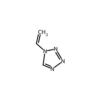 C=Cn1cnnn1